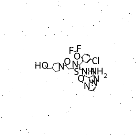 Nc1nn2cccnc2c1C(=O)Nc1sc(CC(=O)N2CCC(CO)CC2)nc1-c1cc(Cl)ccc1OC(F)F